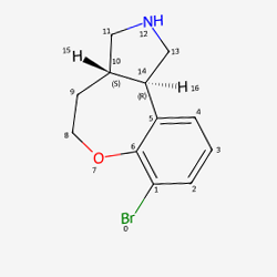 Brc1cccc2c1OCC[C@@H]1CNC[C@@H]21